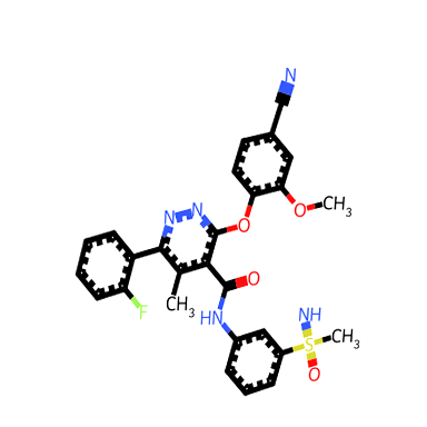 COc1cc(C#N)ccc1Oc1nnc(-c2ccccc2F)c(C)c1C(=O)Nc1cccc(S(C)(=N)=O)c1